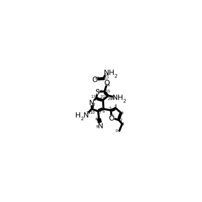 CCc1ccc(-c2c(C#N)c(N)nc3sc(OC(N)=O)c(N)c23)o1